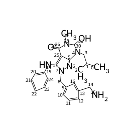 CC(C)CN1c2nn(Cc3cccc(CN)c3)c(Nc3ccccc3)c2C(=O)N(C)C1O